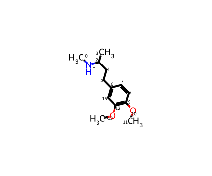 CNC(C)CCc1ccc(OC)c(OC)c1